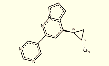 FC(F)(F)[C@H]1C[C@@H]1c1cc(-c2cncnc2)nn2cccc12